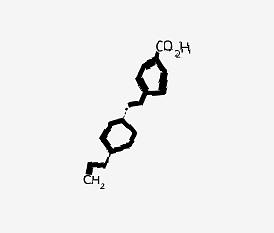 C=CC[C@H]1CC[C@H](CCc2ccc(C(=O)O)cc2)CC1